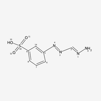 NN=CN=Nc1cccc(S(=O)(=O)O)c1